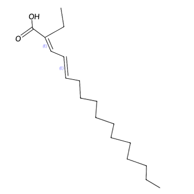 CCCCCCCCCCC/C=C/C=C(\CC)C(=O)O